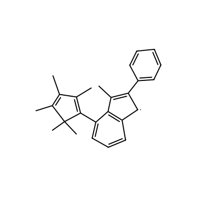 CC1=C(C)C(C)(C)C(c2cccc3c2C(C)=C(c2ccccc2)[CH]3)=C1C